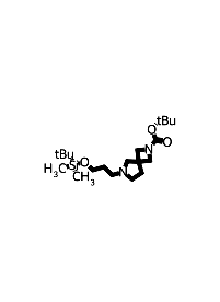 CC(C)(C)OC(=O)N1CC2(CCN(CCCO[Si](C)(C)C(C)(C)C)C2)C1